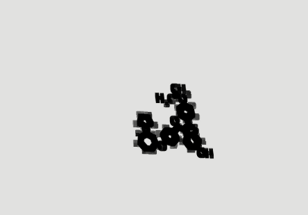 CC(C)Oc1ccc(-c2sc3cc(O)ccc3c2C(=O)c2ccc(OC3CCCCC(N4CCCC4)C3)cc2)cc1